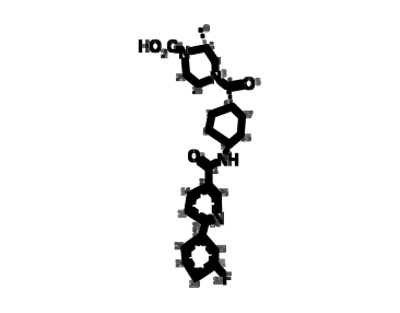 C[C@@H]1CN(C(=O)[C@H]2CC[C@H](NC(=O)c3ccc(-c4cccc(F)c4)nc3)CC2)CCN1C(=O)O